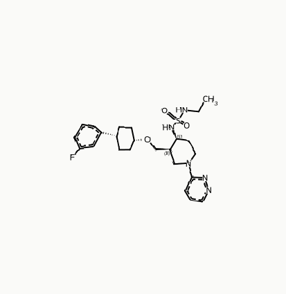 CCNS(=O)(=O)N[C@H]1CCN(c2cccnn2)C[C@H]1CO[C@H]1CC[C@@H](c2cccc(F)c2)CC1